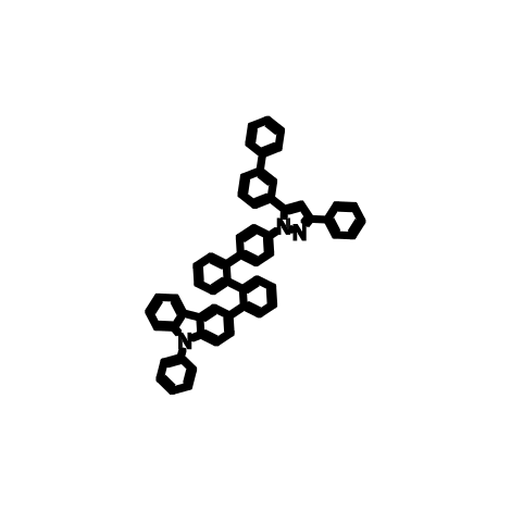 c1ccc(-c2cccc(-c3cc(-c4ccccc4)nn3-c3ccc(-c4ccccc4-c4ccccc4-c4ccc5c(c4)c4ccccc4n5-c4ccccc4)cc3)c2)cc1